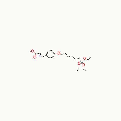 CCO[Si](CCCCCCOc1ccc(/C=C/C(=O)OC)cc1)(OCC)OCC